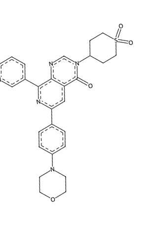 O=c1c2cc(-c3ccc(N4CCOCC4)cc3)nc(-c3cccnc3)c2ncn1C1CCS(=O)(=O)CC1